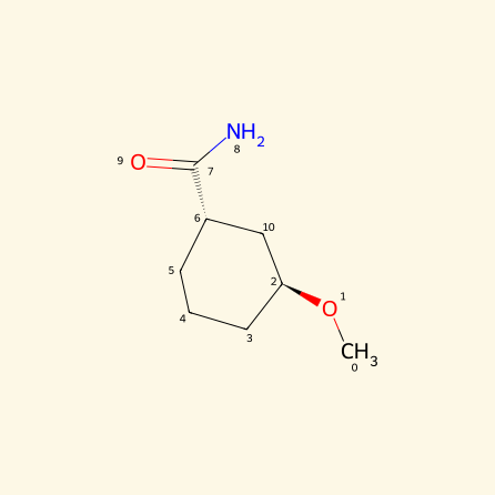 CO[C@H]1CCC[C@H](C(N)=O)C1